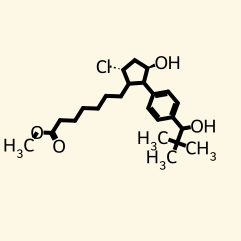 COC(=O)CCCCCCC1C(c2ccc(C(O)C(C)(C)C)cc2)[C@H](O)C[C@H]1Cl